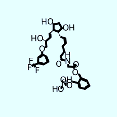 O=C(CCC/C=C\C[C@@H]1[C@@H](/C=C/[C@@H](O)COc2cccc(C(F)(F)F)c2)[C@H](O)C[C@@H]1O)NCC(=O)OCc1ccccc1CON(O)O